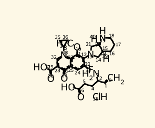 C=CC(N)CCC(=O)O.COc1c(N2C[C@@H]3CCCN[C@@H]3C2)c(F)cc2c(=O)c(C(=O)O)cn(C3CC3)c12.Cl